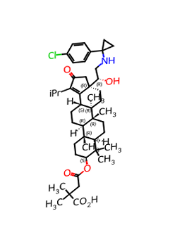 CC(C)C1=C2[C@H]3CC[C@@H]4[C@@]5(C)CC[C@H](OC(=O)CC(C)(C)C(=O)O)C(C)(C)[C@@H]5CC[C@@]4(C)[C@]3(C)CC[C@@]2([C@@H](O)CNC2(c3ccc(Cl)cc3)CC2)CC1=O